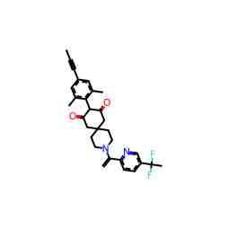 C=C(c1ccc(C(C)(F)F)cn1)N1CCC2(CC1)CC(=O)C(c1c(C)cc(C#CC)cc1C)C(=O)C2